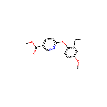 CCc1cc(OC)ccc1Oc1ccc(C(=O)OC)cn1